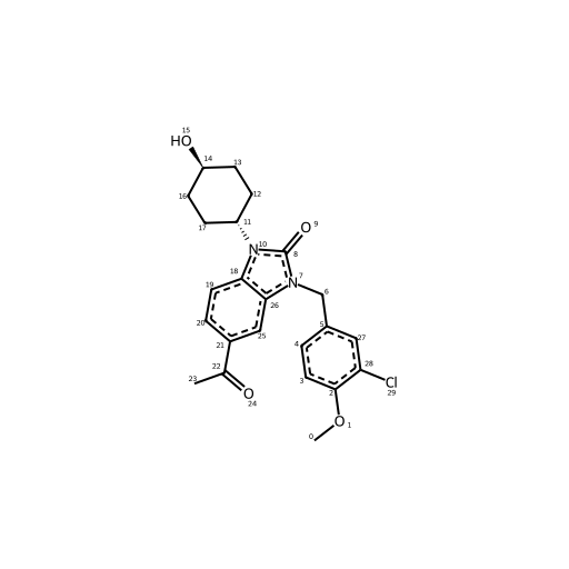 COc1ccc(Cn2c(=O)n([C@H]3CC[C@H](O)CC3)c3ccc(C(C)=O)cc32)cc1Cl